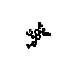 COC(=O)N1c2ccc(-c3cnn(C4CC4)c3)c(OC(CF)CF)c2CC[C@@H]1C